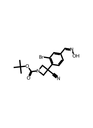 CC(C)(C)OC(=O)N1CC(C#N)(c2ccc(/C=N\O)cc2Br)C1